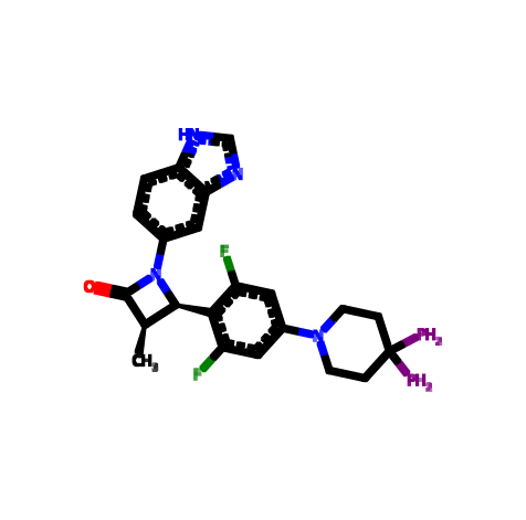 C[C@H]1C(=O)N(c2ccc3[nH]cnc3c2)[C@H]1c1c(F)cc(N2CCC(P)(P)CC2)cc1F